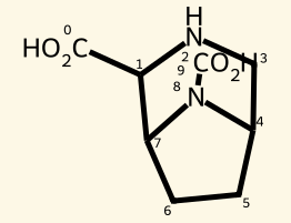 O=C(O)C1NCC2CCC1N2C(=O)O